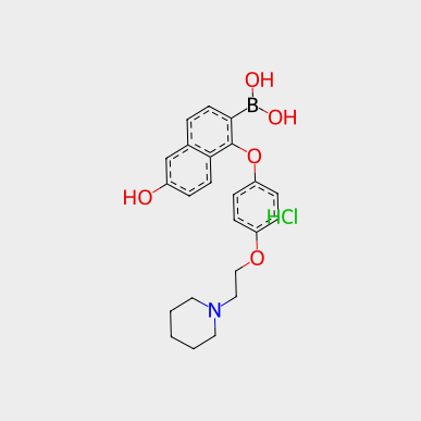 Cl.OB(O)c1ccc2cc(O)ccc2c1Oc1ccc(OCCN2CCCCC2)cc1